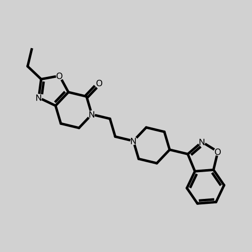 CCc1nc2c(o1)C(=O)N(CCN1CCC(c3noc4ccccc34)CC1)CC2